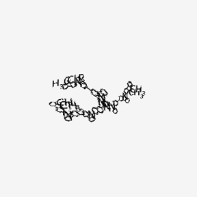 CC1(C)c2ccccc2-c2ccc(-n3c4ccccc4c4cc(-c5ccc6c(c5)c5ccccc5n6-c5ccc6cc(-c7nc(-n8c9ccccc9c9cc(-c%10ccc%11c(c%10)c%10ccccc%10n%11-c%10ccc%11c(c%10)C(C)(C)c%10ccccc%10-%11)ccc98)cc(-n8c9ccccc9c9cc(-c%10ccc%11c(c%10)c%10ccccc%10n%11-c%10ccc%11c(c%10)C(C)(C)c%10ccccc%10-%11)ccc98)n7)ccc6c5)ccc43)cc21